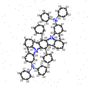 c1ccc(-c2c3c4cccc5c6ccc(N(c7ccccc7)c7ccccc7)cc6n(c3c(-c3ccccc3)c3c6cccc7c8ccc(N(c9ccccc9)c9ccccc9)cc8n(c23)c76)c54)cc1